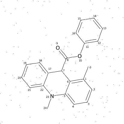 Cc1cccc2c1C(C(=O)Oc1ccccc1)c1ccccc1N2C